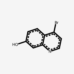 Oc1ccc2c(Br)ccnc2c1